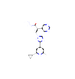 NNC(=O)/C(=C/n1cnc(-c2cc(C3CC3)nc(C(F)(F)F)c2)n1)c1cncnc1